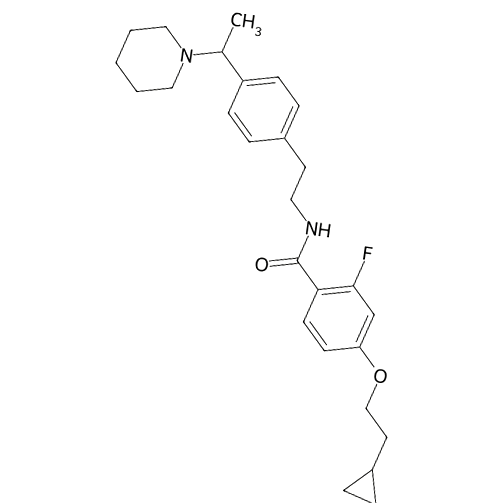 CC(c1ccc(CCNC(=O)c2ccc(OCCC3CC3)cc2F)cc1)N1CCCCC1